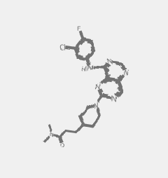 CN(C)C(=O)CCC1CCN(c2ncc3ncnc(Nc4ccc(F)c(Cl)c4)c3n2)CC1